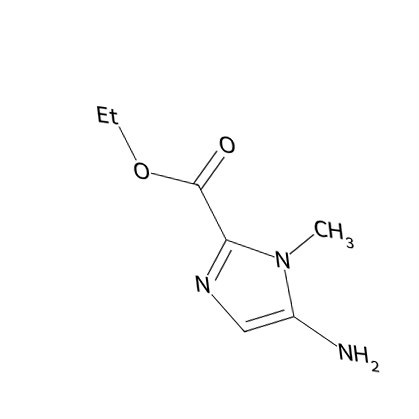 CCOC(=O)c1ncc(N)n1C